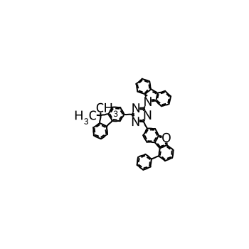 CC1(C)c2ccccc2-c2cc(-c3nc(-c4ccc5c(c4)oc4cccc(-c6ccccc6)c45)nc(-n4c5ccccc5c5ccccc54)n3)ccc21